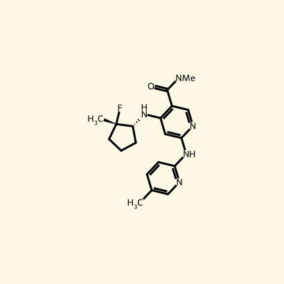 CNC(=O)c1cnc(Nc2ccc(C)cn2)cc1N[C@@H]1CCC[C@]1(C)F